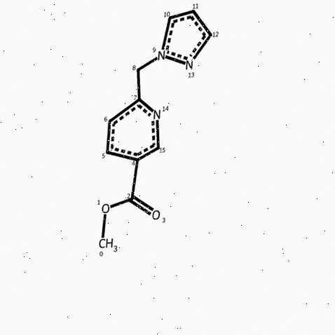 COC(=O)c1ccc(Cn2cccn2)nc1